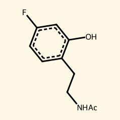 CC(=O)NCCc1ccc(F)cc1O